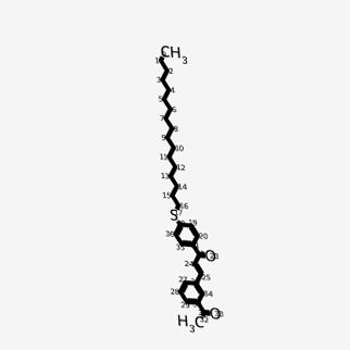 CCCCCCCCCCCCCCCCCSc1ccc(C(=O)/C=C/c2cccc(C(C)=O)c2)cc1